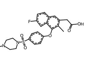 Cc1c(CC(=O)O)cc2ccc(F)cc2c1Oc1ccc(S(=O)(=O)N2CCN(C)CC2)cc1